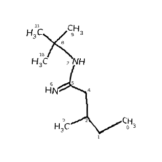 CCC(C)CC(=N)NC(C)(C)C